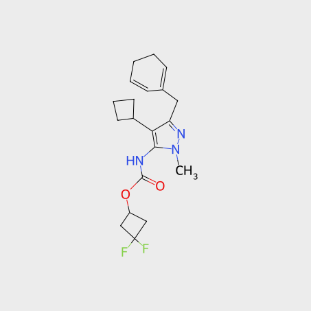 Cn1nc(CC2=CCCC=C2)c(C2CCC2)c1NC(=O)OC1CC(F)(F)C1